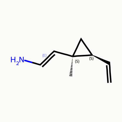 C=C[C@@H]1C[C@]1(C)/C=C/N